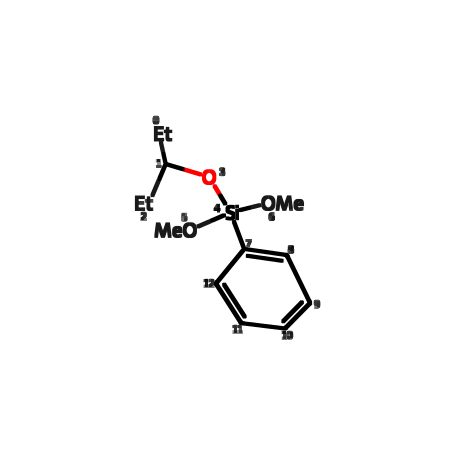 CCC(CC)O[Si](OC)(OC)c1ccccc1